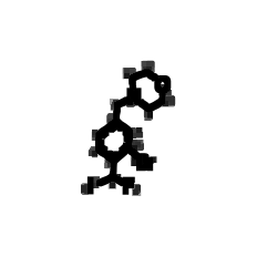 F[C](F)c1ccc(CN2CCOCC2)cc1Br